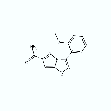 COc1ccccc1-c1n[nH]c2cc(C(N)=O)nn12